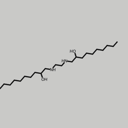 CCCCCCCCC(O)CNCCNCC(O)CCCCCCCC